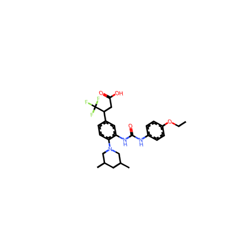 CCOc1ccc(NC(=O)Nc2cc(C(CC(=O)O)C(F)(F)F)ccc2N2CC(C)CC(C)C2)cc1